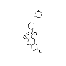 COc1ccc2oc(=O)c(S(=O)(=O)N3CCC(Cc4ccccc4)CC3)cc2c1